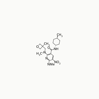 CNc1nc(N(C)CC2(C)COC2)c(C(=O)N[C@H]2CC[C@H](C)CC2)cc1[N+](=O)[O-]